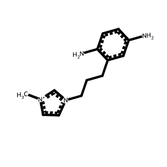 C[n+]1ccn(CCCc2cc(N)ccc2N)c1